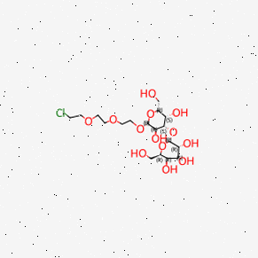 OC[C@H]1O[C@H](O[C@H]2[C@@H](O)[C@@H](CO)O[C@@H](OCCOCCOCCCl)[C@@H]2O)[C@H](O)[C@@H](O)[C@H]1O